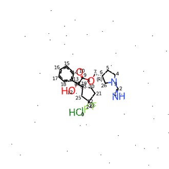 Cl.N=CN1CC[C@@H](COC(=O)[C@](O)(c2ccccc2)[C@@H]2CCC(F)(F)C2)C1